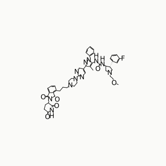 COCCN1C[C@@H](NC(=O)Nc2c(C)c(-c3cnc(N4CCN(CCCc5cccc6c5C(=O)N(C5CCC(=O)NC5=O)C6=O)CC4)nc3)nn2-c2ccccc2)[C@H](c2cccc(F)c2)C1